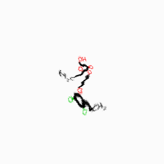 C=CCc1oc(CO)cc(=O)c1OCCCCCOc1cc(Cl)cc(Cl)c1CC=C